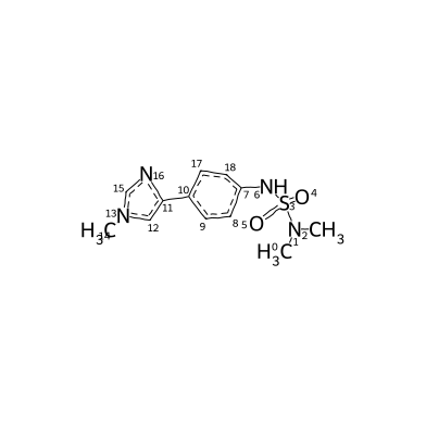 CN(C)S(=O)(=O)Nc1ccc(-c2cn(C)cn2)cc1